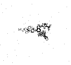 CC(C)C(=O)N1CCN(c2cc(S(=O)(=O)NC3(C#N)COC3)cc3c2cnn3-c2nnc(C(F)F)s2)CC1